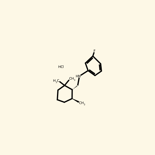 C[C@H]1CCCC(C)(C)[C@@H]1CNc1cccc(F)c1.Cl